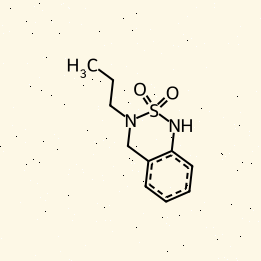 CCCN1Cc2ccccc2NS1(=O)=O